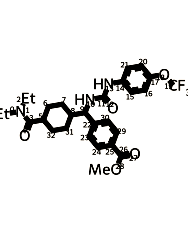 CCN(CC)C(=O)C1CCC(C(NC(=O)Nc2ccc(OC(F)(F)F)cc2)c2ccc(C(=O)OC)cc2)CC1